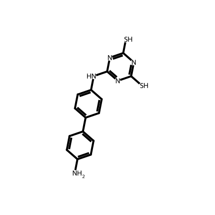 Nc1ccc(-c2ccc(Nc3nc(S)nc(S)n3)cc2)cc1